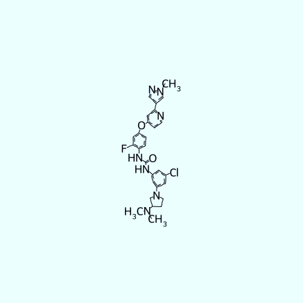 CN(C)C1CCN(c2cc(Cl)cc(NC(=O)Nc3ccc(Oc4ccnc(-c5cnn(C)c5)c4)cc3F)c2)C1